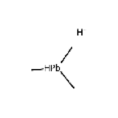 [CH3][PbH]([CH3])[CH3].[H-]